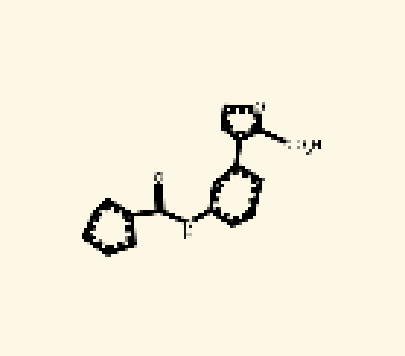 O=C(Nc1cccc(-c2ccoc2C(=O)O)c1)c1ccccc1